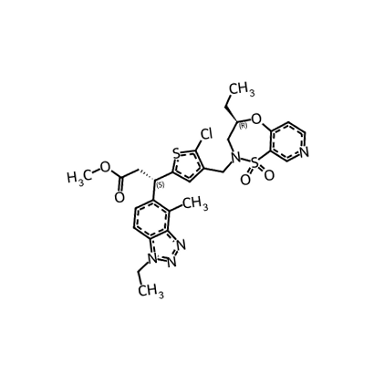 CC[C@@H]1CN(Cc2cc([C@@H](CC(=O)OC)c3ccc4c(nnn4CC)c3C)sc2Cl)S(=O)(=O)c2cnccc2O1